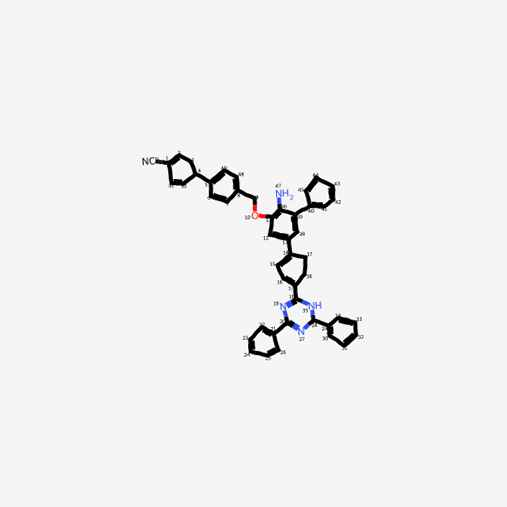 N#CC1=CCC(c2ccc(COc3cc(C4=CC=C(C5=NC(c6ccccc6)=NC(c6ccccc6)N5)CC4)cc(-c4ccccc4)c3N)cc2)C=C1